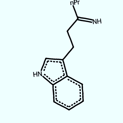 CCCC(=N)CCc1c[nH]c2ccccc12